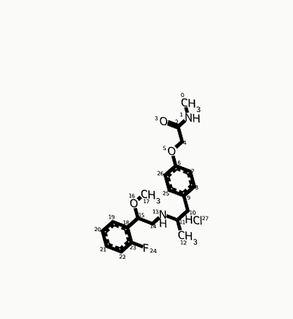 CNC(=O)COc1ccc(CC(C)NCC(OC)c2ccccc2F)cc1.Cl